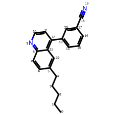 CCCCCc1ccc2nccc(-c3cccc(C#N)c3)c2c1